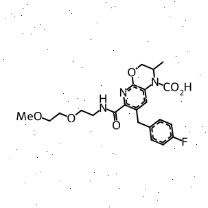 COCCOCCNC(=O)c1nc2c(cc1Cc1ccc(F)cc1)N(C(=O)O)C(C)CO2